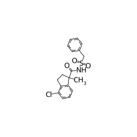 CC1(C(=O)NS(=O)(=O)Cc2ccccc2)CCc2c(Cl)cccc21